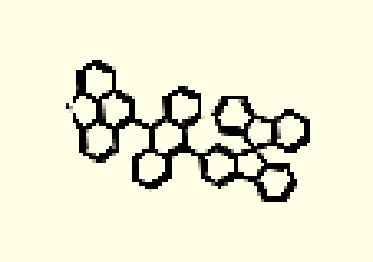 C1=CC2=C(CC1)c1ccccc1C21c2ccccc2-c2ccc(-c3c4ccccc4c(-c4cc5cccc6sc7cccc4c7c56)c4ccccc34)cc21